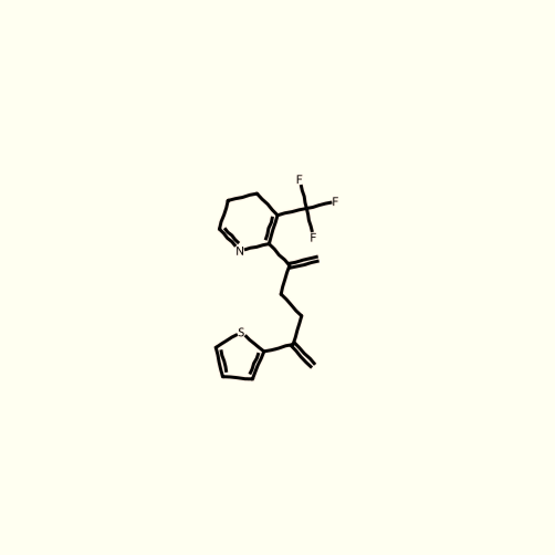 C=C(CCC(=C)c1cccs1)C1=C(C(F)(F)F)CCC=N1